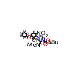 CNC[C@H]1CN(c2c([N+](=O)[O-])ccc(Oc3ccccc3)c2C(F)(F)F)CCN1C(=O)OC(C)(C)C